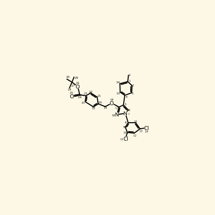 Cc1ccc(-c2cn(-c3cc(Cl)cc(Cl)c3)nc2OCc2ccc(C(=O)OC(C)(C)C)cc2)cc1